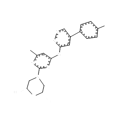 Cc1ccc(-c2cnnc(Nc3cc(F)nc(N4C[C@@H](C)O[C@@H](C)C4)n3)c2)cc1